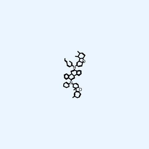 C/C=C/C=C\C(=C/C)N(C1=CC2C(C=C1)OC1C=CC(C)C(C)C12)C1=CC2c3ccccc3C(N(C3=CCCCC3)C3C=CC4OC5=C(C=C(C)CC=C5)C4(C)C3)=CC2c2ccccc21